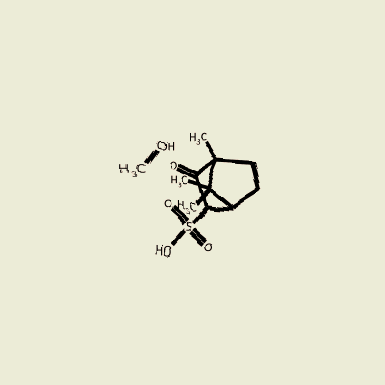 CC12CCC(C(S(=O)(=O)O)C1=O)C2(C)C.CO